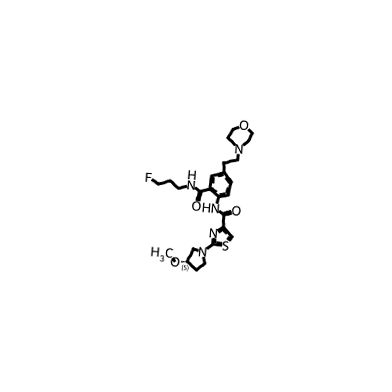 CO[C@H]1CCN(c2nc(C(=O)Nc3ccc(CCN4CCOCC4)cc3C(=O)NCCCF)cs2)C1